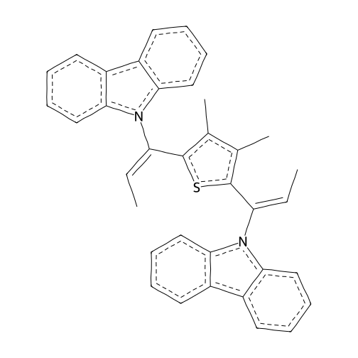 C/C=C(\c1sc(/C(=C\C)n2c3ccccc3c3ccccc32)c(C)c1C)n1c2ccccc2c2ccccc21